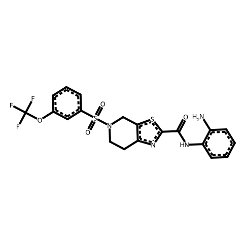 Nc1ccccc1NC(=O)c1nc2c(s1)CN(S(=O)(=O)c1cccc(OC(F)(F)F)c1)CC2